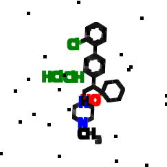 CN1CCN(CC(c2ccc(-c3ccccc3Cl)cc2)C2(O)CCCCC2)CC1.Cl.Cl